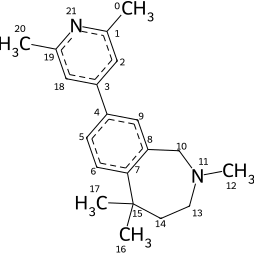 Cc1cc(-c2ccc3c(c2)CN(C)CCC3(C)C)cc(C)n1